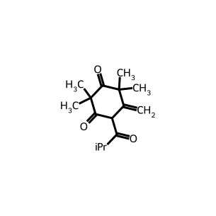 C=C1C(C(=O)C(C)C)C(=O)C(C)(C)C(=O)C1(C)C